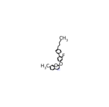 CCCCCc1ccc(-c2ccc(OC(=O)/C=C\c3ccc(C)cc3)cc2F)cc1